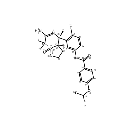 CC1(C)C(N)=N[C@](C)(c2cc(NC(=O)c3ccc(OC(F)F)cn3)ccc2F)[C@@H]2CCN=[S@@]21=O